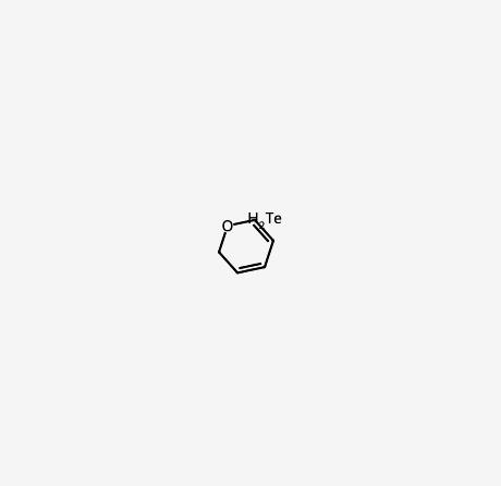 C1=CCOC=C1.[TeH2]